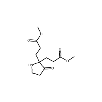 COC(=O)CCC1(CCC(=O)OC)NCCC1=O